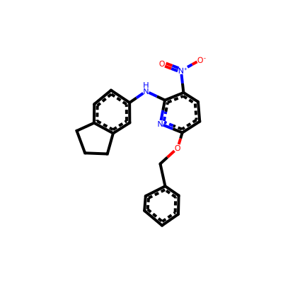 O=[N+]([O-])c1ccc(OCc2ccccc2)nc1Nc1ccc2c(c1)CCC2